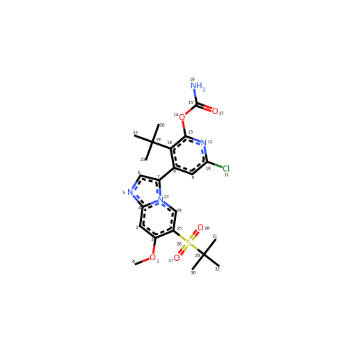 COc1cc2ncc(-c3cc(Cl)nc(OC(N)=O)c3C(C)(C)C)n2cc1S(=O)(=O)C(C)(C)C